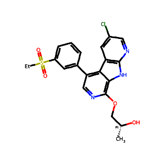 CCS(=O)(=O)c1cccc(-c2cnc(OC[C@@H](C)O)c3[nH]c4ncc(Cl)cc4c23)c1